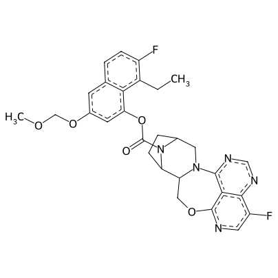 CCc1c(F)ccc2cc(OCOC)cc(OC(=O)N3C4CCC3C3COc5ncc(F)c6ncnc(c56)N3C4)c12